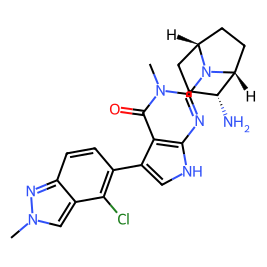 Cn1cc2c(Cl)c(-c3c[nH]c4nc(N5[C@@H]6CC[C@@H](N)[C@H]5CC6)n(C)c(=O)c34)ccc2n1